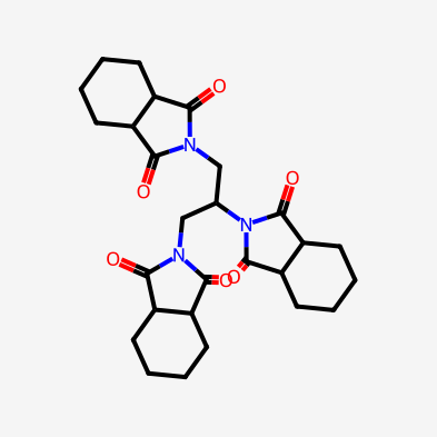 O=C1C2CCCCC2C(=O)N1CC(CN1C(=O)C2CCCCC2C1=O)N1C(=O)C2CCCCC2C1=O